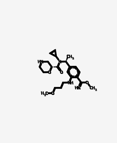 COCCCNc1cc([C@@H](C)N(C(=O)[C@H]2CNCCO2)C2CC2)ccc1C(=N)OC